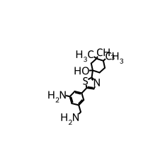 CC1CCC(O)(c2ncc(-c3cc(N)cc(CN)c3)s2)CC1(C)C